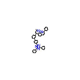 Cc1cc(-c2cccc(-c3ccc(-c4nc(-c5ccccc5)nc(-c5ccccc5)n4)cc3)c2)c2ccc3ccc(-c4ccccc4)nc3c2n1